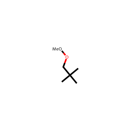 COOCC(C)(C)C